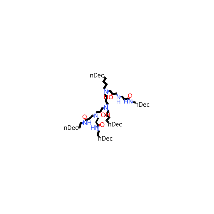 CCCCCCCCCCCCCCN(CCCCN(CCCCCCCCCCCCCC)CC(O)CN(CCC(=O)NCCCCCCCCCCCC)CCC(=O)NCCCCCCCCCCCC)CC(O)CNCCC(=O)NCCCCCCCCCCC